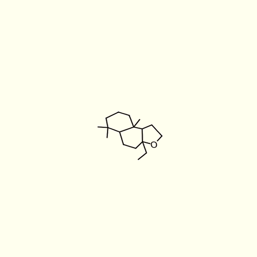 CCC12CCC3C(C)(C)CCCC3(C)C1CCO2